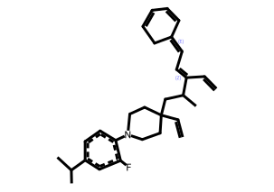 C=C/C(=C\C=C1\C=CC=CC1)C(C)CC1(C=C)CCN(c2ccc(C(C)C)cc2F)CC1